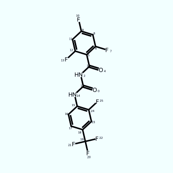 O=C(NC(=O)c1c(F)cc(F)cc1F)Nc1ccc(C(F)(F)F)cc1F